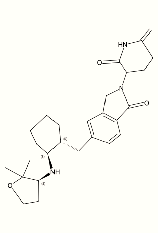 C=C1CCC(N2Cc3cc(C[C@H]4CCCC[C@@H]4N[C@H]4CCOC4(C)C)ccc3C2=O)C(=O)N1